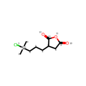 C[Si](C)(Cl)CCCC1CC(=O)OC1=O